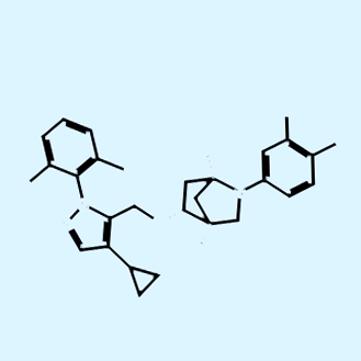 Cc1ccc(N2C[C@@H]3C[C@H]2C[C@H]3OCc2c(C3CC3)cnn2-c2c(C)cccc2C)cc1F